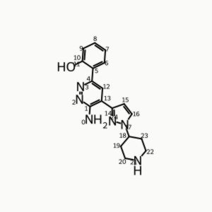 Nc1nnc(-c2ccccc2O)cc1-c1ccn(C2CCNCC2)n1